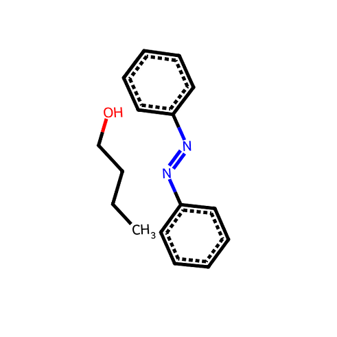 CCCCO.c1ccc(N=Nc2ccccc2)cc1